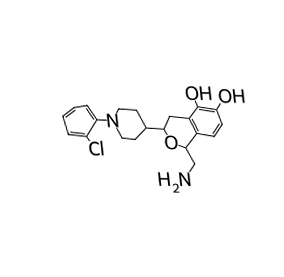 NCC1OC(C2CCN(c3ccccc3Cl)CC2)Cc2c1ccc(O)c2O